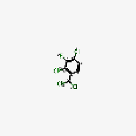 Fc1c(Cl)c[c]c(C(Cl)Cl)c1Cl